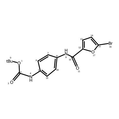 CC(C)(C)OC(=O)Nc1ccc(NC(=O)c2ccc(Br)o2)cc1